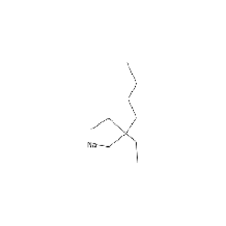 CCCCC(CC)(CC)[CH2][Na]